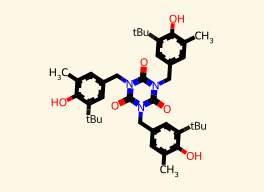 Cc1cc(Cn2c(=O)n(Cc3cc(C)c(O)c(C(C)(C)C)c3)c(=O)n(Cc3cc(C)c(O)c(C(C)(C)C)c3)c2=O)cc(C(C)(C)C)c1O